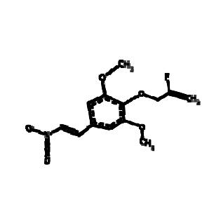 C=C(F)COc1c(OC)cc(C=C[N+](=O)[O-])cc1OC